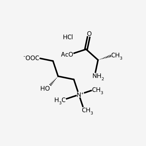 CC(=O)OC(=O)[C@H](C)N.C[N+](C)(C)C[C@H](O)CC(=O)[O-].Cl